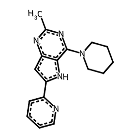 Cc1nc(N2CCCCC2)c2[nH]c(-c3ccccn3)cc2n1